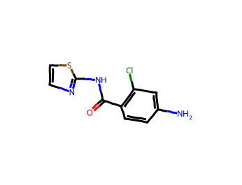 Nc1ccc(C(=O)Nc2nccs2)c(Cl)c1